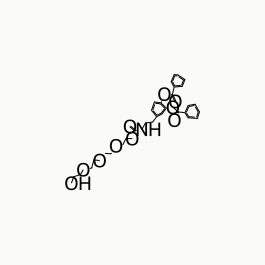 O=C(NCCc1ccc(OC(=O)c2ccccc2)c(OC(=O)c2ccccc2)c1)OCCOCCOCCOCCO